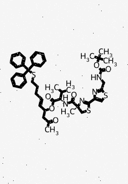 CC(=O)CC(/C=C/CCCSC(c1ccccc1)(c1ccccc1)c1ccccc1)OC(=O)[C@@H](NC(=O)[C@]1(C)CSC(c2csc(CNC(=O)OC(C)(C)C)n2)=N1)C(C)C